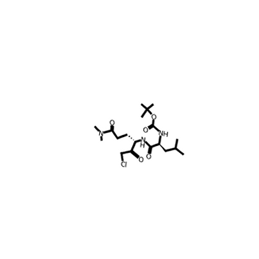 CC(C)C[C@H](NC(=O)OC(C)(C)C)C(=O)N[C@@H](CCC(=O)N(C)C)C(=O)CCl